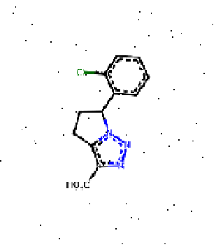 O=C(O)c1nnn2c1CCC2c1ccccc1Cl